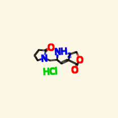 Cl.N[C@@H](C=C1CCOC1=O)CN1CCCC1=O